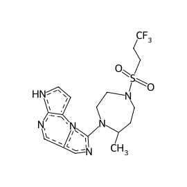 CC1CCN(S(=O)(=O)CCC(F)(F)F)CCN1c1ncc2cnc3[nH]ccc3n12